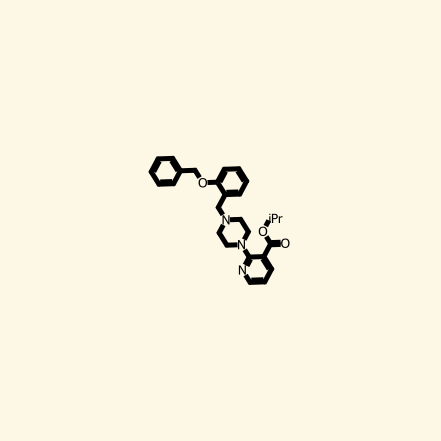 CC(C)OC(=O)c1cccnc1N1CCN(Cc2ccccc2OCc2ccccc2)CC1